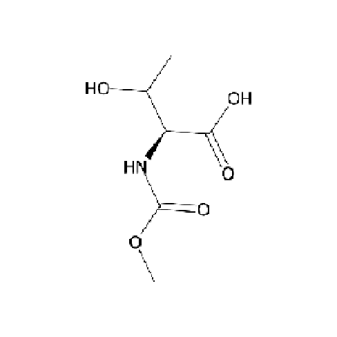 COC(=O)N[C@H](C(=O)O)C(C)O